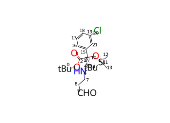 CC(C)(C)OC(=O)[C@](CNCCC=O)(O[Si](C)(C)C(C)(C)C)c1cccc(Cl)c1